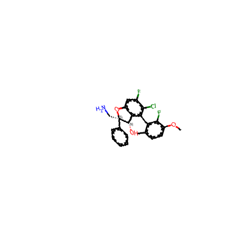 COc1ccc(C)c(-c2c(Cl)c(F)cc3c2[C@H](O)[C@@](CN)(c2ccccc2)O3)c1F